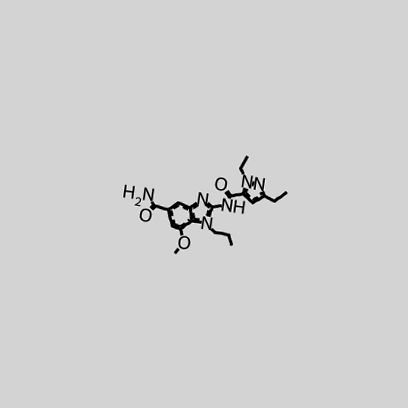 CCCn1c(NC(=O)c2cc(CC)nn2CC)nc2cc(C(N)=O)cc(OC)c21